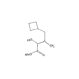 COC(=O)C(O)C(C)CC1CCC1